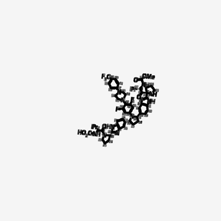 COC(=O)N[C@H](C(=O)[C@@]1(c2nc3cc([C@H]4CC[C@H](c5ccc6[nH]c([C@@H]7CCCN7C(=O)[C@@H](NC(=O)O)C(C)C)nc6c5)N4c4cc(F)c(N5CCN(c6ccc(C(F)(F)F)cc6)CC5)c(F)c4)ccc3[nH]2)CCCN1)C(C)C